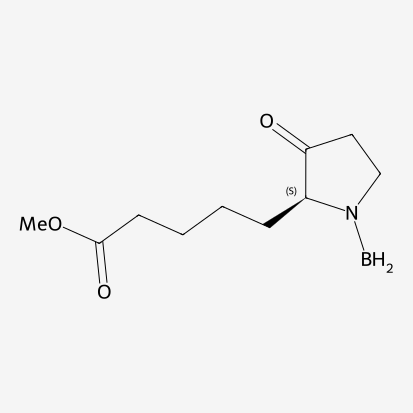 BN1CCC(=O)[C@@H]1CCCCC(=O)OC